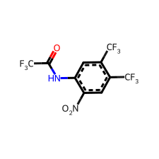 O=C(Nc1cc(C(F)(F)F)c(C(F)(F)F)cc1[N+](=O)[O-])C(F)(F)F